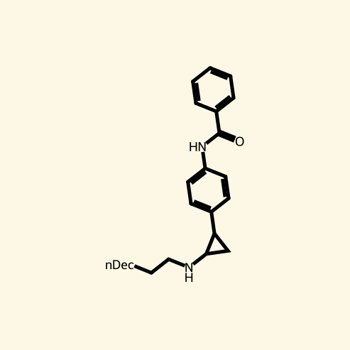 CCCCCCCCCCCCNC1CC1c1ccc(NC(=O)c2ccccc2)cc1